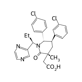 CC[C@H](c1cnccn1)N1C(=O)[C@@](C)(CC(=O)O)C[C@H](c2cccc(Cl)c2)[C@H]1c1ccc(Cl)cc1